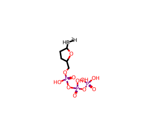 [2H]BC1CCC(COP(=O)(O)OP(=O)(O)OP(=O)(O)O)O1